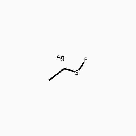 CCSF.[Ag]